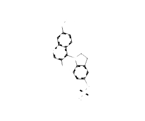 COc1ccc2c(N3CCc4cc(NS(N)(=O)=O)ccc43)c(C)cnc2c1